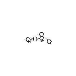 [c]1ccc(N2CCN(c3nnc(Cc4ccccc4)c4ccccc34)CC2)nc1